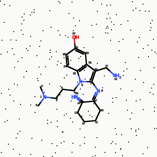 CN(C)CCCn1c(/N=C2/CCCCC2=N)c(CN)c2cc(O)ccc21